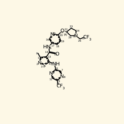 Cc1nsc(Nc2cnc(C(F)(F)F)cn2)c1C(=O)Nc1ccc(O[C@@H]2CCN(CC(F)(F)F)C2)nc1